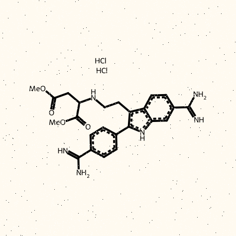 COC(=O)CC(NCCc1c(-c2ccc(C(=N)N)cc2)[nH]c2cc(C(=N)N)ccc12)C(=O)OC.Cl.Cl